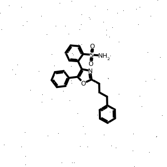 NS(=O)(=O)c1ccccc1-c1nc(CCCc2ccccc2)oc1-c1ccccc1